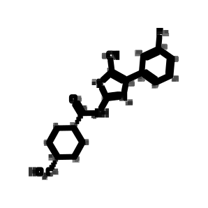 N#Cc1sc(NC(=O)[C@H]2CC[C@@H](C(=O)O)CC2)nc1-c1cccc(F)c1